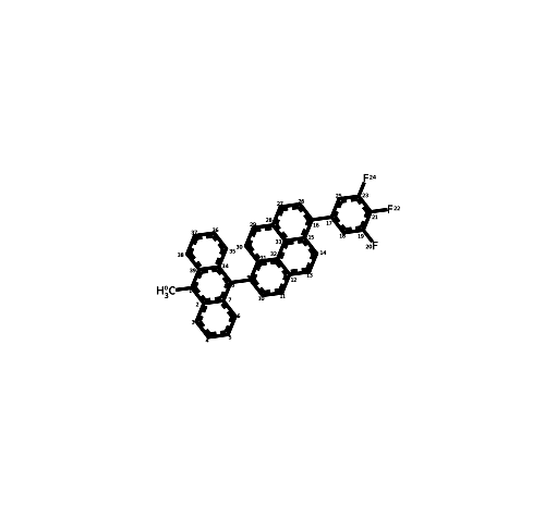 Cc1c2ccccc2c(-c2ccc3ccc4c(-c5cc(F)c(F)c(F)c5)ccc5ccc2c3c54)c2ccccc12